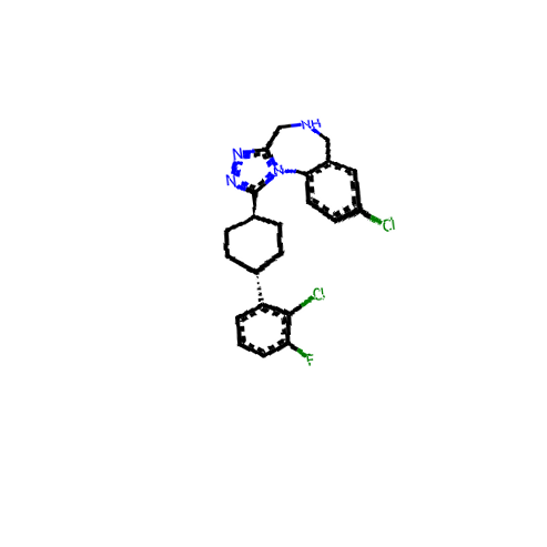 Fc1cccc([C@H]2CC[C@H](c3nnc4n3-c3ccc(Cl)cc3CNC4)CC2)c1Cl